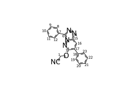 N#CCOc1nn2c(-c3ccccc3)nnc2cc1-c1ccccc1